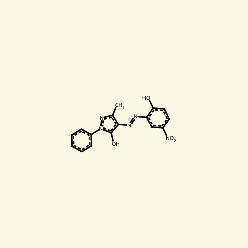 Cc1nn(-c2ccccc2)c(O)c1/N=N/c1cc([N+](=O)[O-])ccc1O